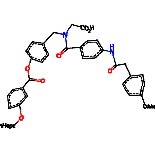 CCCCCCCOc1cccc(C(=O)Oc2ccc(CN(CC(=O)O)C(=O)c3ccc(NC(=O)Cc4ccc(OC)cc4)cc3)cc2)c1